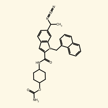 CC(N=[N+]=[N-])c1ccc2cc(C(=O)NC3CCC(OC(N)=O)CC3)n(Cc3cccc4ccccc34)c2c1